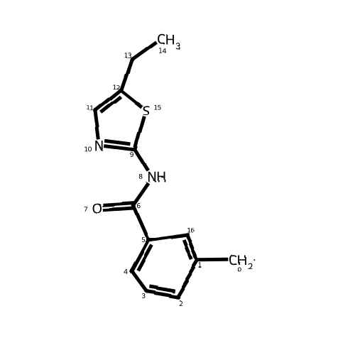 [CH2]c1cccc(C(=O)Nc2ncc(CC)s2)c1